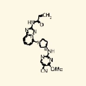 C=CC(=O)Nc1nc2cccc(N3CC[C@@H](Nc4ncc(C#N)c(OC)n4)C3)n2n1